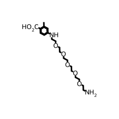 Cc1cc(NCCOCCOCCOCCOCCOCCN)ccc1C(=O)O